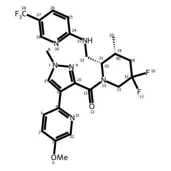 COc1ccc(-c2cn(C)nc2C(=O)N2CC(F)(F)C[C@@H](C)[C@H]2CNc2ccc(C(F)(F)F)cn2)nc1